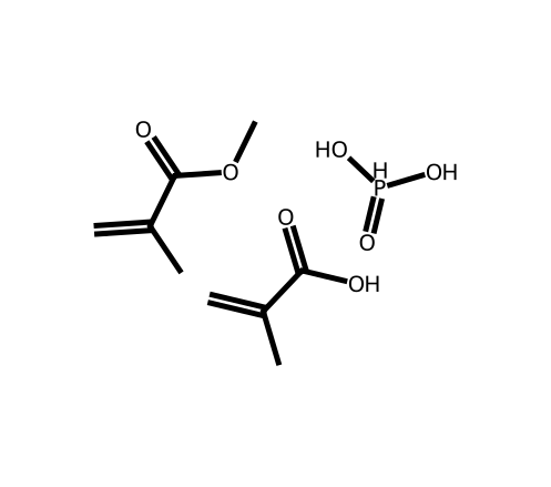 C=C(C)C(=O)O.C=C(C)C(=O)OC.O=[PH](O)O